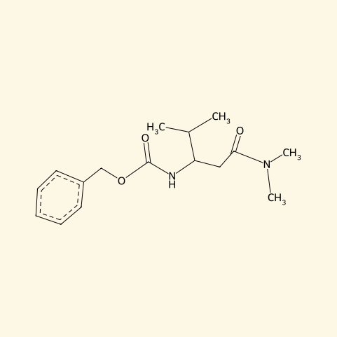 CC(C)C(CC(=O)N(C)C)NC(=O)OCc1ccccc1